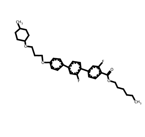 CCCCCCOC(=O)c1ccc(-c2ccc(-c3ccc(OCCCOC4CCC(C)CC4)cc3)cc2F)cc1F